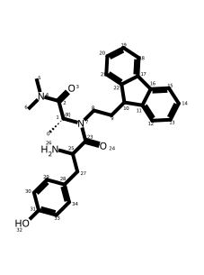 C[C@H](C(=O)N(C)C)N(CCC1c2ccccc2-c2ccccc21)C(=O)C(N)Cc1ccc(O)cc1